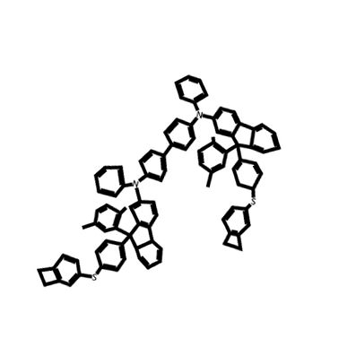 Cc1ccc(C)c(C2(C3=CCC(Sc4ccc5c(c4)CC5)C=C3)c3ccccc3-c3ccc(N(c4ccccc4)c4ccc(-c5ccc(N(c6ccccc6)c6ccc7c(c6)C(c6ccc(Sc8ccc9c(c8)CC9)cc6)(c6cc(C)ccc6C)C6C=CC=CC76)cc5)cc4)cc32)c1